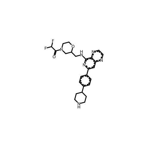 O=C(C(F)F)N1CCOC(CNc2nc(-c3ccc(C4CCNCC4)cc3)cc3nccnc23)C1